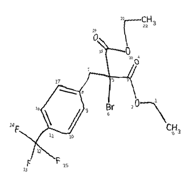 CCOC(=O)C(Br)(Cc1ccc(C(F)(F)F)cc1)C(=O)OCC